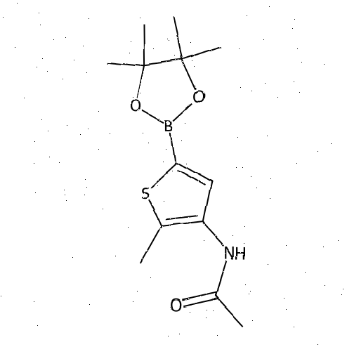 CC(=O)Nc1cc(B2OC(C)(C)C(C)(C)O2)sc1C